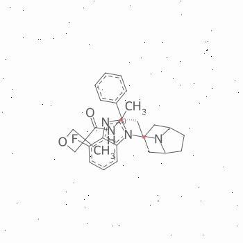 Cc1nc2c(F)cccc2n1C1CC2CCC(C1)N2CC[C@H](NC(=O)C1(C)COC1)c1ccccc1